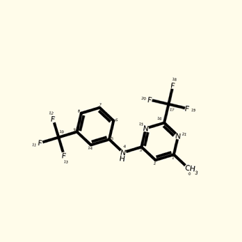 Cc1cc(Nc2cccc(C(F)(F)F)c2)nc(C(F)(F)F)n1